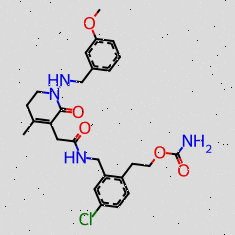 COc1cccc(CNN2CCC(C)=C(CC(=O)NCc3cc(Cl)ccc3CCOC(N)=O)C2=O)c1